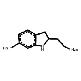 CCCCCCCCCCCC1Cc2ccc(C(=O)O)cc2N1